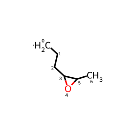 [CH2]CCC1OC1C